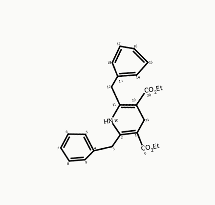 CCOC(=O)C1=C(Cc2ccccc2)NC(Cc2ccccc2)=C(C(=O)OCC)C1